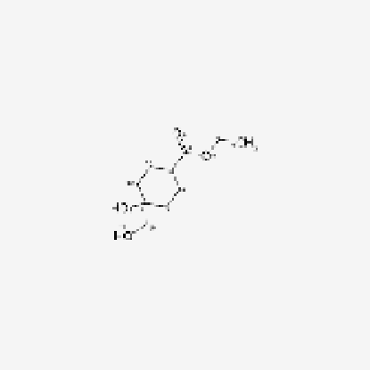 CCOC(=O)C1CCC(O)(CO)CC1